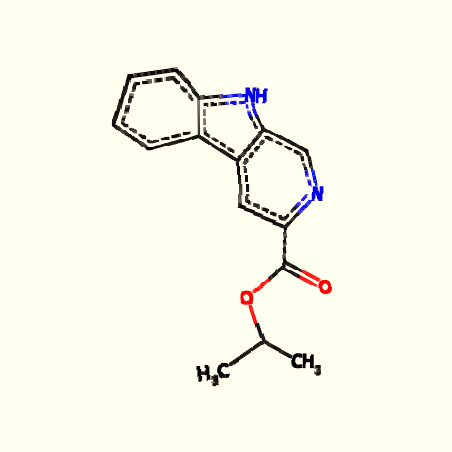 CC(C)OC(=O)c1cc2c(cn1)[nH]c1ccccc12